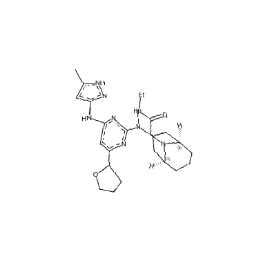 CCNC(=O)CN1[C@@H]2CCC[C@H]1CC(N(C)c1nc(Nc3cc(C)[nH]n3)cc(C3CCCO3)n1)C2